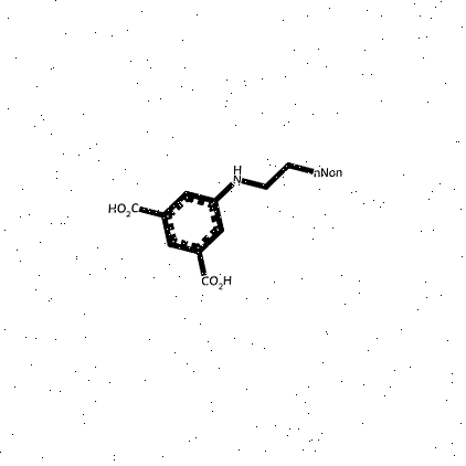 CCCCCCCCCCCNc1cc(C(=O)O)cc(C(=O)O)c1